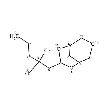 [CH2]CCC(Cl)(Cl)C[C]1OC2COCC(C2)O1